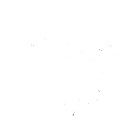 CC(C)N1CCC(c2ccc(-c3cc4c(N5CCN(C(=O)[C@H]6C[C@@](C)(O)C6)CC5)ccnn4c3)cc2)CC1